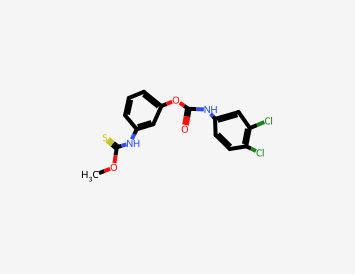 COC(=S)Nc1cccc(OC(=O)Nc2ccc(Cl)c(Cl)c2)c1